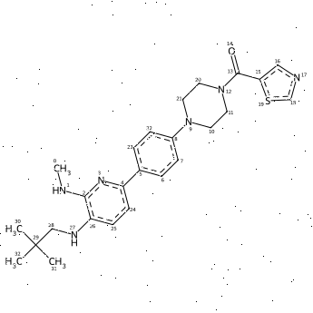 CNc1nc(-c2ccc(N3CCN(C(=O)c4cncs4)CC3)cc2)ccc1NCC(C)(C)C